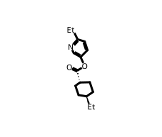 CCc1ccc(OC(=O)[C@H]2CC[C@H](CC)CC2)cn1